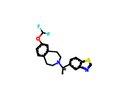 C[C@H](c1ccc2scnc2c1)N1CCc2ccc(OC(F)F)cc2CC1